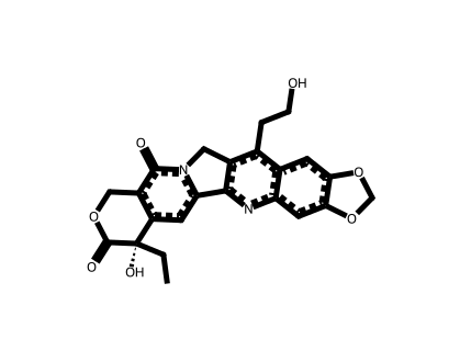 CC[C@@]1(O)C(=O)OCc2c1cc1n(c2=O)Cc2c-1nc1cc3c(cc1c2CCO)OCO3